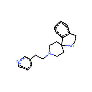 c1cncc(CCN2CCC3(CC2)NCCc2ccccc23)c1